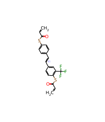 C=CC(=O)Sc1ccc(/C=C/c2ccc(SC(=O)C=C)c(C(F)(F)F)c2)cc1